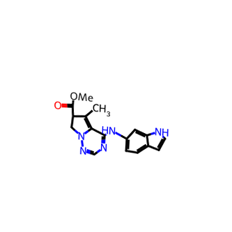 COC(=O)C1CN2N=CN=C(Nc3ccc4cc[nH]c4c3)C2=C1C